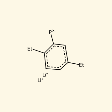 CCc1ccc(CC)c([P-2])c1.[Li+].[Li+]